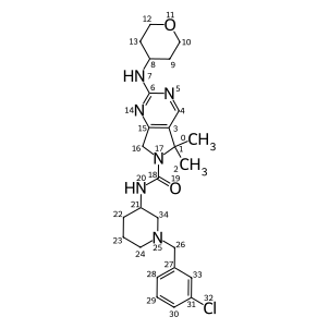 CC1(C)c2cnc(NC3CCOCC3)nc2CN1C(=O)NC1CCCN(Cc2cccc(Cl)c2)C1